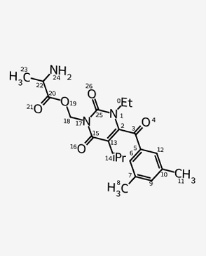 CCn1c(C(=O)c2cc(C)cc(C)c2)c(C(C)C)c(=O)n(COC(=O)C(C)N)c1=O